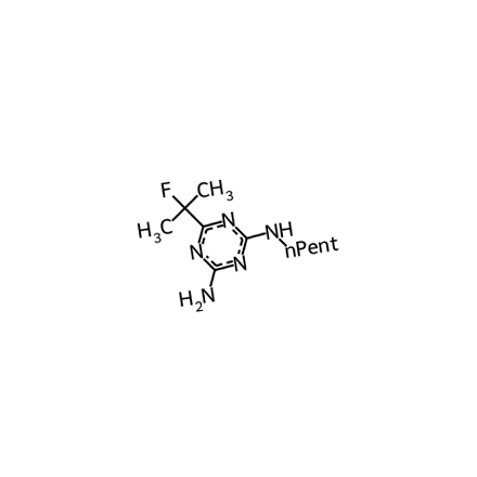 CCCCCNc1nc(N)nc(C(C)(C)F)n1